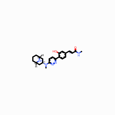 CNC(=O)/C=C/c1ccc(-c2ccc(N(C)[C@@H]3C[C@H]4CCC[C@@H](C3)N4)nn2)c(O)c1